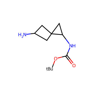 CC(C)(C)OC(=O)NC1CC12CC(N)C2